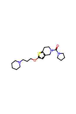 O=C(N1CCCC1)N1CCc2sc(OCCCN3CCCCC3)cc2C1